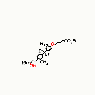 CCOC(=O)CCCCOc1ccc(C(CC)(CC)c2ccc(CCC(O)C(C)(C)C)c(C)c2)cc1C